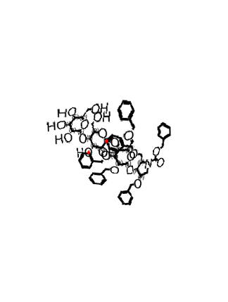 O=C(OCc1ccccc1)N1C[C@@H](OCc2ccccc2)[C@H](O[C@H]2O[C@H](COCc3ccccc3)[C@@H](O[C@@H]3O[C@H](CO)[C@@H](O[C@@H]4O[C@H](CO)[C@@H](O)[C@H](O)[C@H]4O)[C@H](O)[C@H]3O)[C@H](OCc3ccccc3)[C@H]2OCc2ccccc2)[C@H]1COCc1ccccc1